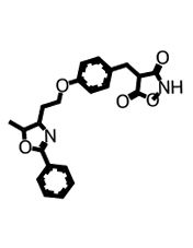 CC1OC(c2ccccc2)=NC1CCOc1ccc(CC2C(=O)NOC2=O)cc1